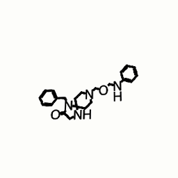 O=C1CNC2(CCN(COCNc3ccccc3)CC2)N1Cc1ccccc1